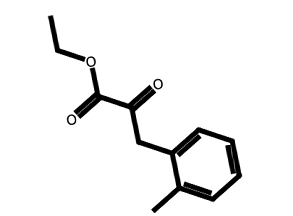 CCOC(=O)C(=O)Cc1ccccc1C